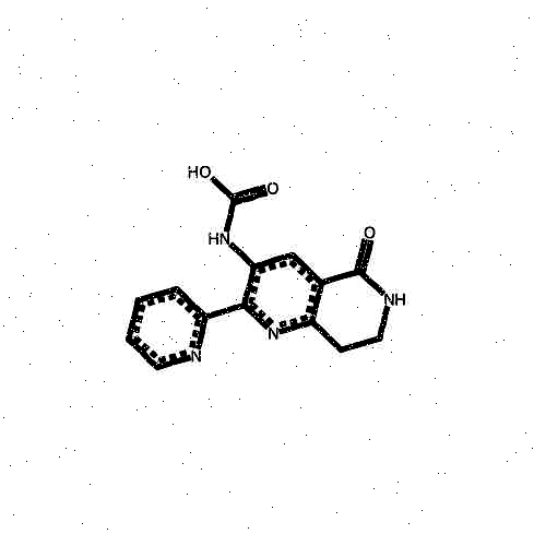 O=C(O)Nc1cc2c(nc1-c1ccccn1)CCNC2=O